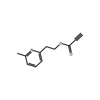 C#CC(=O)OCCc1cccc(C)n1